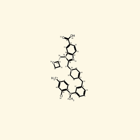 Cc1ccc(N(C)c2cccc(CC3=CCN(Cc4nc5ccc(C(=O)O)cc5n4C[C@@H]4CCO4)CC3)c2)c(Cl)c1